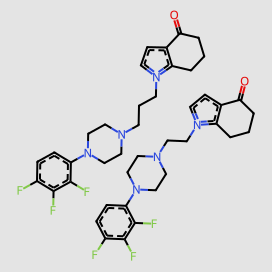 O=C1CCCc2c1ccn2CCCN1CCN(c2ccc(F)c(F)c2F)CC1.O=C1CCCc2c1ccn2CCN1CCN(c2ccc(F)c(F)c2F)CC1